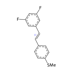 CSc1ccc(/C=C/c2cc(F)cc(F)c2)cc1